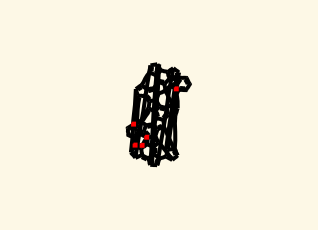 c1ccc2c(c1)C1CC2C23c4c5c6c7c8c9c(c%10c%11c2c2c4c4c%12c5c5c6c6c8c8c%13c%14c%15c%16c%17c%18c%19c%20c%21c%22c%23c(c%14c%14c%24c%23c%23c%22c%22c%20c(c2c%22c%11c%23c%10c%24c9c%148)c4c%19c%12c%17c5c%16c%136)C%152C4CC(c5ccccc54)C%18%212)C713